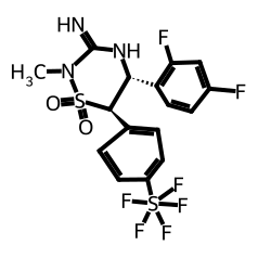 CN1C(=N)N[C@H](c2ccc(F)cc2F)[C@@H](c2ccc(S(F)(F)(F)(F)F)cc2)S1(=O)=O